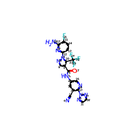 N#Cc1cc(NC(=O)c2cnn(-c3ccc(F)c(N)n3)c2C(F)(F)F)cnc1-n1nccn1